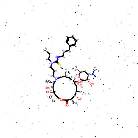 CC[C@H]1OC(=O)[C@H](C)[C@@H](O)[C@H](C)[C@@H](O[C@@H]2O[C@H](C)C[C@H](N(C)C)[C@H]2O)[C@](C)(O)C[C@@H](C)CN(CCCN(CCC#N)C(=S)NCCCc2ccccc2)[C@H](C)[C@@H](O)[C@]1(C)O